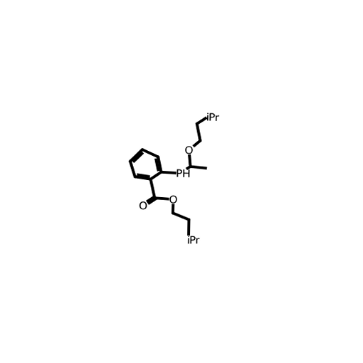 CC(C)CCOC(=O)c1ccccc1PC(C)OCCC(C)C